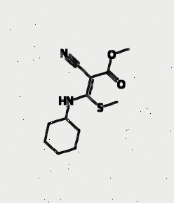 COC(=O)/C(C#N)=C(/NC1CCCCC1)SC